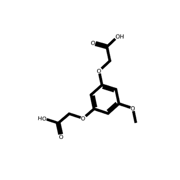 COc1cc(OCC(=O)O)cc(OCC(=O)O)c1